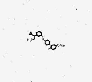 COc1ccc(F)c([C@H]2CC[C@H](COc3cccc([C@@H](CP)C4CC4)c3)CC2)c1